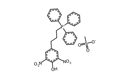 CS(=O)(=O)[O-].O=[N+]([O-])c1cc(CCC[P+](c2ccccc2)(c2ccccc2)c2ccccc2)cc([N+](=O)[O-])c1O